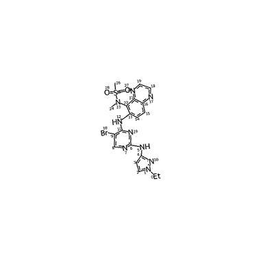 CCn1ccc(Nc2ncc(Br)c(Nc3ccc4nccnc4c3N(C)S(C)(=O)=O)n2)n1